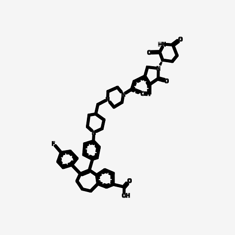 O=C1CC[C@H](N2Cc3cc(N4CCN(CC5CCN(c6ccc(C7=C(c8ccc(F)cc8)CCCc8cc(C(=O)O)ccc87)cc6)CC5)CC4)ccc3C2=O)C(=O)N1